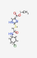 CCOC(=O)c1c[nH]c(SCC(=O)Nc2ccc(Cl)cc2)n1